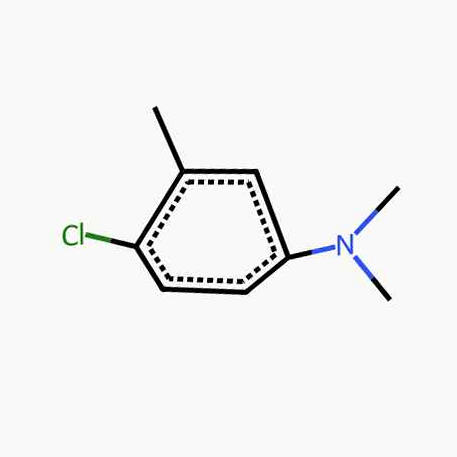 Cc1cc(N(C)C)ccc1Cl